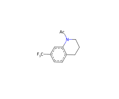 CC(=O)N1CCCc2ccc(C(F)(F)F)cc21